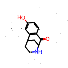 O=C1c2ccc(O)cc2C2CCNC1C2